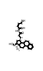 C[C@]12CCC3c4ccccc4CCC3C1[C@H](CCC(=O)NC(=N)/C=C\C=N)C/C2=N\O